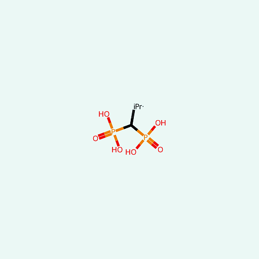 C[C](C)C(P(=O)(O)O)P(=O)(O)O